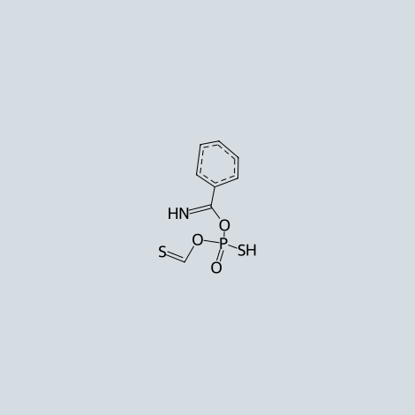 N=C(OP(=O)(S)OC=S)c1ccccc1